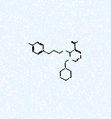 O=C(O)C1=CC=CN(CC2CCCCC2)C1SCCCc1ccc(F)cc1